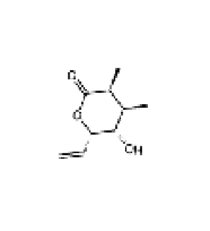 C=C[C@@H]1OC(=O)[C@@H](C)[C@@H](C)[C@@H]1O